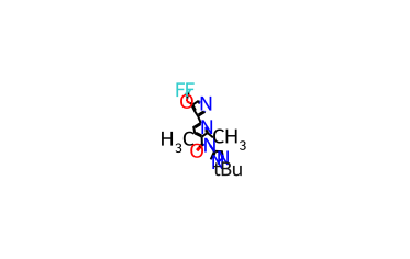 Cc1cc(-c2cncc(OC(F)F)c2)nc2c1C(=O)N(c1cnn(C(C)(C)C)c1)C2C